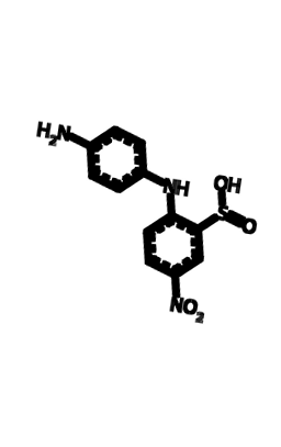 Nc1ccc(Nc2ccc([N+](=O)[O-])cc2S(=O)O)cc1